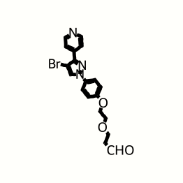 O=CCCOCCOc1ccc(-n2cc(Br)c(-c3ccncc3)n2)cc1